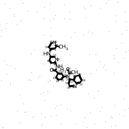 Cc1cc(Nc2ccc(NC(=O)c3cccc(N(c4ccnc5ccccc45)N(C)C)c3)nc2)ccn1